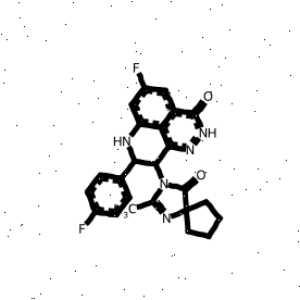 CC1=NC2(CCCC2)C(=O)N1C1c2n[nH]c(=O)c3cc(F)cc(c23)NC1c1ccc(F)cc1